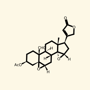 CC(=O)O[C@H]1CC[C@]2(C=O)[C@H]3CC[C@]4(C)[C@@H](C5=CC(=O)OC5)C[C@@H]5O[C@@]54[C@@H]3C[C@@H]3O[C@@]32C1